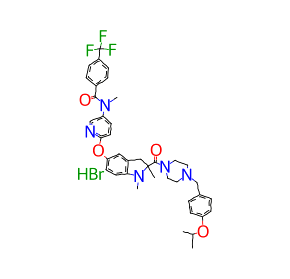 Br.CC(C)Oc1ccc(CN2CCN(C(=O)C3(C)Cc4cc(Oc5ccc(N(C)C(=O)c6ccc(C(F)(F)F)cc6)cn5)ccc4N3C)CC2)cc1